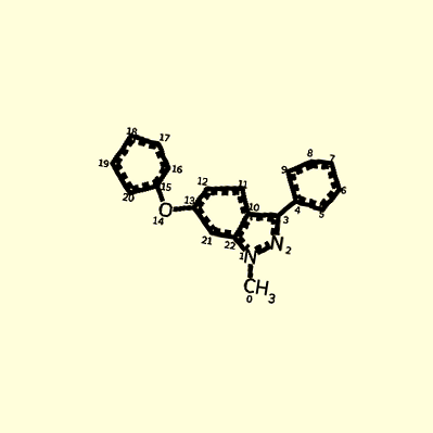 Cn1nc(-c2ccccc2)c2ccc(Oc3ccccc3)cc21